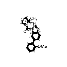 COc1ccccc1-c1ccc2nnn(C(=O)N3COCC3(C)C)c2c1